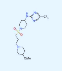 COC1CCN(CCCS(=O)(=O)N2CCC(Nc3ncc(C(F)(F)F)cn3)CC2)CC1